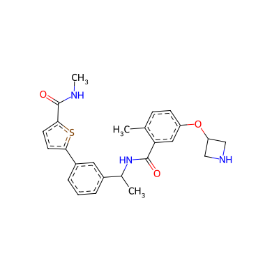 CNC(=O)c1ccc(-c2cccc(C(C)NC(=O)c3cc(OC4CNC4)ccc3C)c2)s1